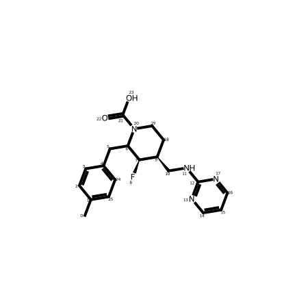 Cc1ccc(CC2[C@H](F)[C@H](CNc3ncccn3)CCN2C(=O)O)cc1